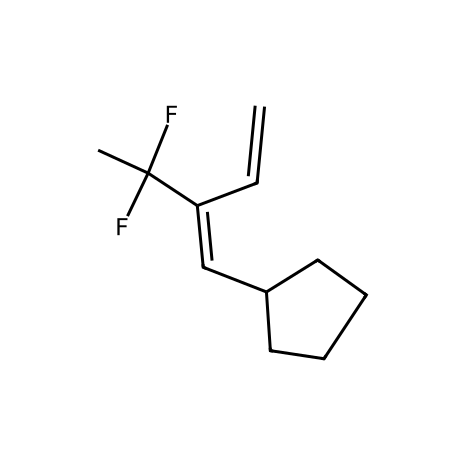 C=C/C(=C\C1CCCC1)C(C)(F)F